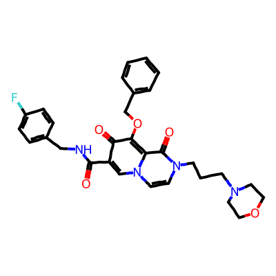 O=C(NCc1ccc(F)cc1)c1cn2ccn(CCCN3CCOCC3)c(=O)c2c(OCc2ccccc2)c1=O